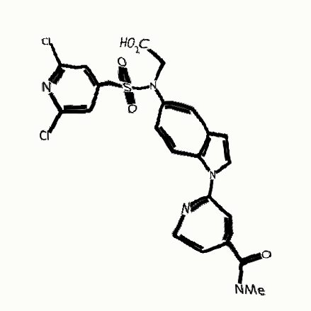 CNC(=O)c1ccnc(-n2ccc3cc(N(CC(=O)O)S(=O)(=O)c4cc(Cl)nc(Cl)c4)ccc32)c1